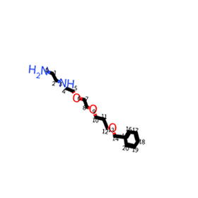 NCCNCCOCCOCCCOCc1ccccc1